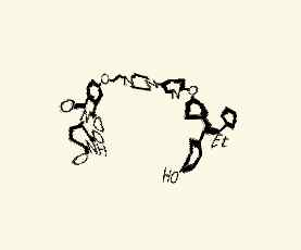 CC/C(=C(\c1ccc(O)cc1)c1ccc(Oc2ccc(N3CCN(CCOc4ccc5c(c4)C(=O)N(C4CCC(=O)NC4=O)C5=O)CC3)cn2)cc1)c1ccccc1